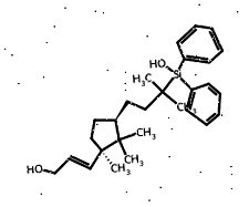 CC1(C)[C@H](CCC(C)(C)[Si](O)(c2ccccc2)c2ccccc2)CC[C@]1(C)/C=C/CO